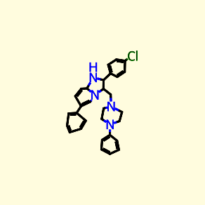 Clc1ccc(C2NC3C=CC(c4ccccc4)=CN3C2CN2CCN(c3ccccc3)CC2)cc1